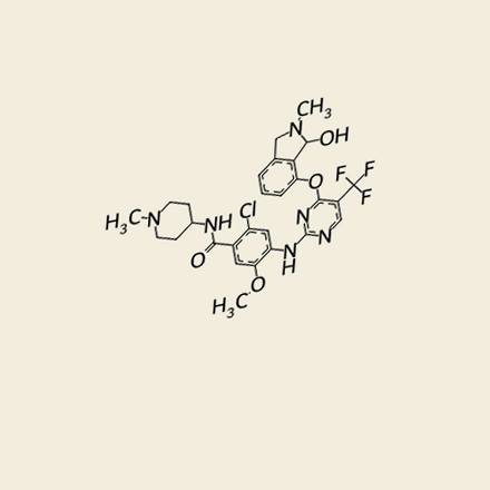 COc1cc(C(=O)NC2CCN(C)CC2)c(Cl)cc1Nc1ncc(C(F)(F)F)c(Oc2cccc3c2C(O)N(C)C3)n1